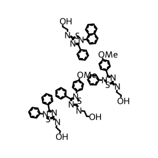 COc1ccc(-c2n/c(=N/CCO)sn2-c2ccccc2)cc1.COc1ccc(-n2s/c(=N\CCO)nc2-c2ccccc2)cc1.OCC/N=c1/nc(-c2ccccc2)n(-c2cccc3ccccc23)s1.OCC/N=c1/nc(-c2ccccc2)n(-c2ccccc2)s1